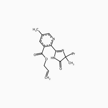 C=CCOC(=O)c1cc(C)cnc1C1=NC(C)(C(C)C)C(=O)N1